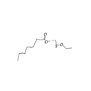 CCCCCCC(=O)OCSOCC